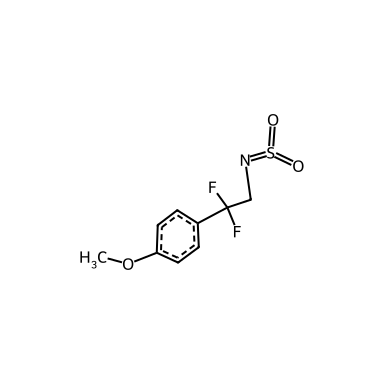 COc1ccc(C(F)(F)CN=S(=O)=O)cc1